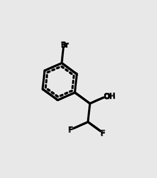 OC(c1cccc(Br)c1)C(F)F